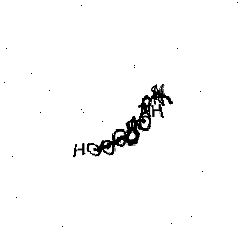 CCc1nsc(-c2ccc(C)c(NCC(=O)N3CCc4c(OCCOCCO)cccc43)c2)n1